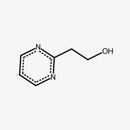 OCCc1nc[c]cn1